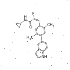 Cc1cc(-c2ccc3[nH]ccc3c2)c(C)cc1/C=C(/F)C(=O)NC1CC1